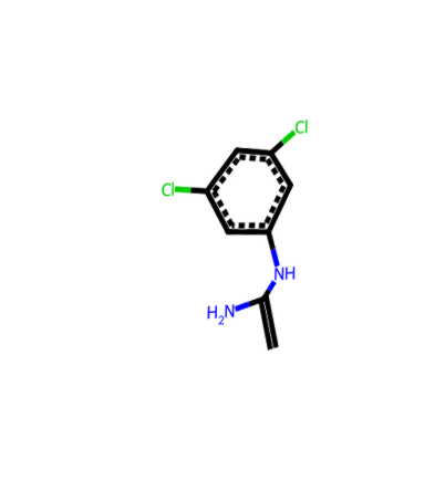 C=C(N)Nc1cc(Cl)cc(Cl)c1